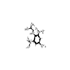 Cc1cc([N+](=O)[O-])c(NCC(C)O)c([N+](=O)[O-])c1